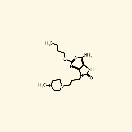 CCCCOc1nc(N)c2[nH]c(=O)n(CCCN3CCN(C)CC3)c2n1